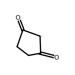 O=C1[CH]C(=O)CC1